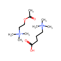 CC(=O)OCC[N+](C)(C)C.C[N+](C)(C)CCCC(=O)O